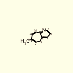 CC1=CCc2cccnc2C=C1